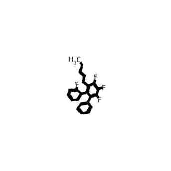 CCCCCc1c(F)c(F)c(F)c(-c2ccccc2)c1-c1ccccc1F